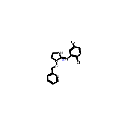 Clc1ccc(Cl)c(/N=C2\NCCN2OCc2ccccn2)c1